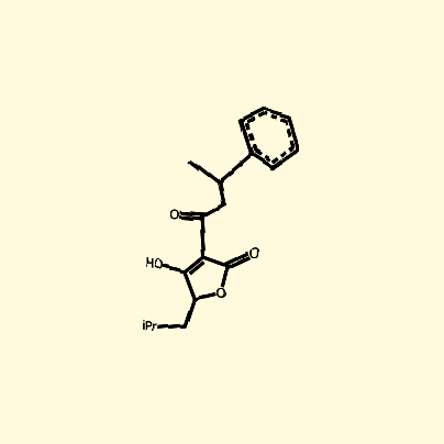 CC(C)CC1OC(=O)C(C(=O)CC(C)c2ccccc2)=C1O